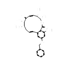 C[C@@H]1/C=C\C(=O)[C@@H](O)[C@@H](O)C/C=C/c2cc(OCc3ccccc3)cc(O)c2C(=O)O[C@H]1C